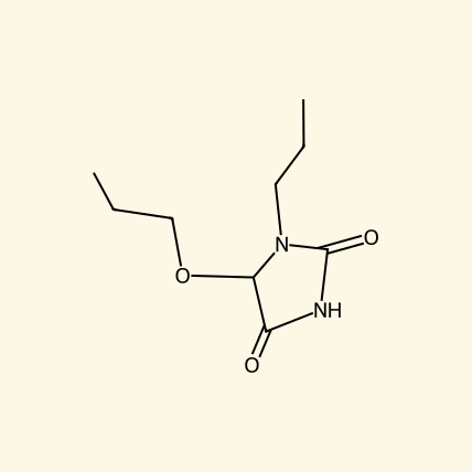 CCCOC1C(=O)NC(=O)N1CCC